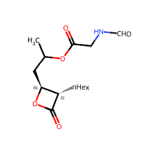 CCCCCC[C@@H]1C(=O)O[C@H]1CC(C)OC(=O)CNC=O